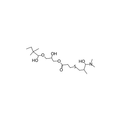 CCC(C)(C)C(O)OCC(O)COC(=O)CCSCC(C)C(O)N(C)C